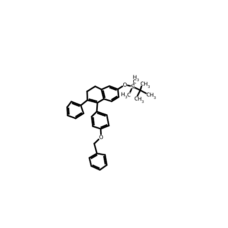 CC(C)(C)[Si](C)(C)Oc1ccc2c(c1)CCC(c1ccccc1)=C2c1ccc(OCc2ccccc2)cc1